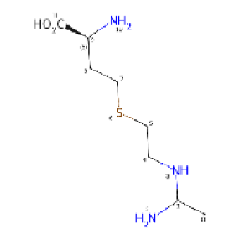 CC(N)NCCSCC[C@H](N)C(=O)O